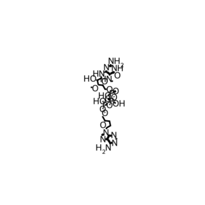 CNc1c(NC2OC(COP(=O)(O)OP(=O)(O)OP(O)OOCC3CCC(n4cnc5c(N)ncnc54)O3)C(OC)C2O)nc(N)[nH]c1=O